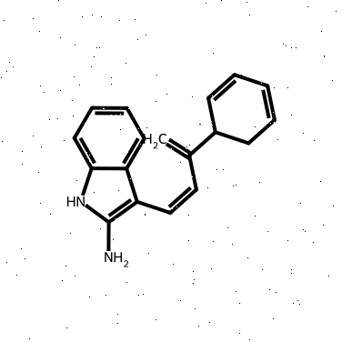 C=C(/C=C\c1c(N)[nH]c2ccccc12)C1C=CC=CC1